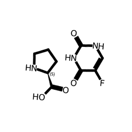 O=C(O)[C@@H]1CCCN1.O=c1[nH]cc(F)c(=O)[nH]1